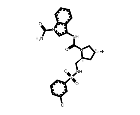 NC(=O)n1cc(NC(=O)N2C[C@H](F)C[C@H]2CNS(=O)(=O)c2cccc(Cl)c2)c2ccccc21